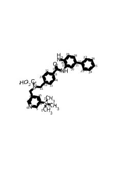 C[Si](C)(C)c1cncc(CN(Cc2ccc(C(=O)Nc3cc(-c4ccccc4)ccc3N)cc2)C(=O)O)c1